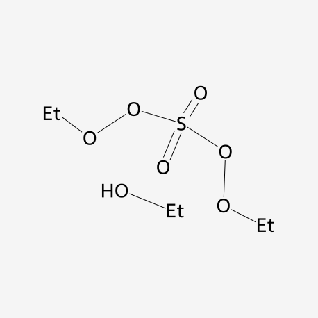 CCO.CCOOS(=O)(=O)OOCC